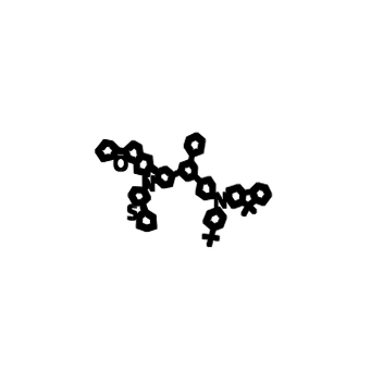 CC(C)(C)c1ccc(N(c2ccc(-c3cc(-c4ccccc4)cc(-c4ccc5c(c4)c4cc6ccc7c8ccccc8oc7c6cc4n5-c4ccc5sc6ccccc6c5c4)c3)cc2)c2ccc3c(c2)C(C)(C)c2ccccc2-3)cc1